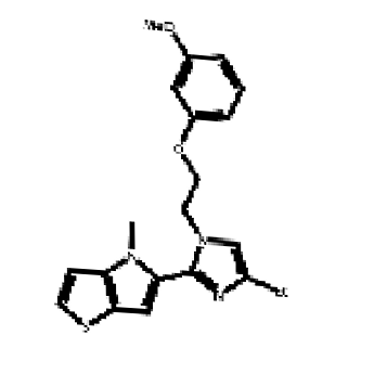 CCc1cn(CCOc2cccc(OC)c2)c(-c2cc3sccc3n2C)n1